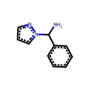 NC(c1cc[c]cc1)n1cccn1